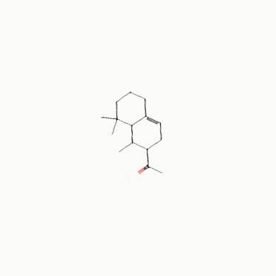 CC(=O)C1CC=C2CCCC(C)(C)C2C1C